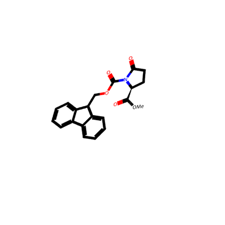 COC(=O)[C@@H]1CCC(=O)N1C(=O)OCC1c2ccccc2-c2ccccc21